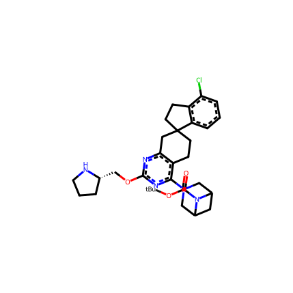 CC(C)(C)OC(=O)N1C2CC1CN(c1nc(OC[C@@H]3CCCN3)nc3c1CCC1(CCc4c(Cl)cccc41)C3)C2